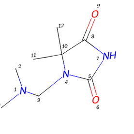 CN(C)CN1C(=O)NC(=O)C1(C)C